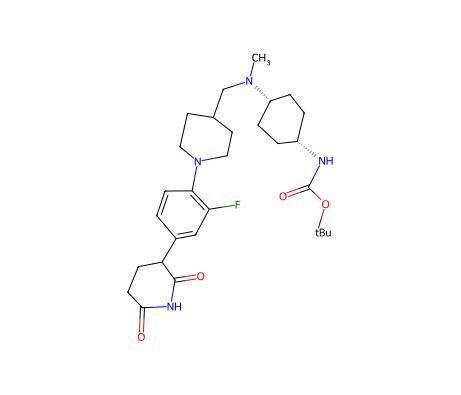 CN(CC1CCN(c2ccc(C3CCC(=O)NC3=O)cc2F)CC1)[C@H]1CC[C@@H](NC(=O)OC(C)(C)C)CC1